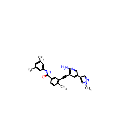 Cc1ccc(C(=O)Nc2cc(C(F)(F)F)cc(C(F)(F)F)c2)cc1C#Cc1cc(-c2cnn(C)c2)cnc1N